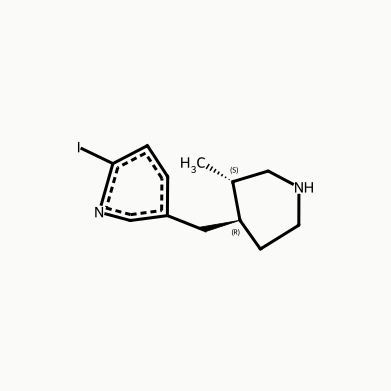 C[C@@H]1CNCC[C@H]1Cc1ccc(I)nc1